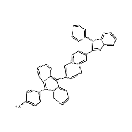 Cc1ccc(-c2c3ccccc3c(-c3ccc4cc(-c5nc6ccccc6n5-c5ccccc5)ccc4c3)c3ccccc23)cc1